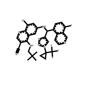 CC(C)(C)CNc1c(C#N)cnc2c(Cl)cc(NC(c3cn(C4(C(F)(F)F)CC4)nn3)c3ccc(F)c4cnccc34)cc12